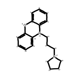 c1ccc2c(c1)Oc1ccccc1N2CCCN1CCCC1